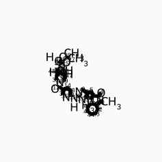 CN(C)C(=O)c1cc2cnc(Nc3ccc(C(=O)N4C[C@H]5CN(C(=O)OC(C)(C)C)C[C@@H](C4)C5O)cn3)nc2n1C1CCCCCC1